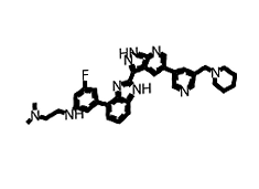 CN(C)CCNc1cc(F)cc(-c2cccc3[nH]c(-c4n[nH]c5ncc(-c6cncc(CN7CCCCC7)c6)cc45)nc23)c1